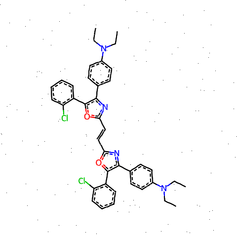 CCN(CC)c1ccc(-c2nc(C=Cc3nc(-c4ccc(N(CC)CC)cc4)c(-c4ccccc4Cl)o3)oc2-c2ccccc2Cl)cc1